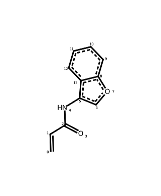 C=CC(=O)Nc1coc2ccccc12